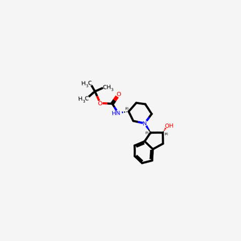 CC(C)(C)OC(=O)N[C@@H]1CCCN([C@@H]2c3ccccc3C[C@H]2O)C1